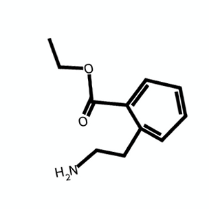 CCOC(=O)c1ccccc1CCN